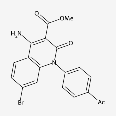 COC(=O)c1c(N)c2ccc(Br)cc2n(-c2ccc(C(C)=O)cc2)c1=O